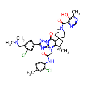 Cc1ncnc(C(=O)N2CCC3(CC2)C[C@@H](C)c2c3c(=O)n3nc(-c4ccc(CN(C)C)c(Cl)c4)nc3n2CC(=O)Nc2ccc(C(F)(F)F)cc2Cl)c1O